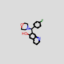 Oc1cc2cccnc2cc1C(c1ccc(F)cc1)N1CCOCC1